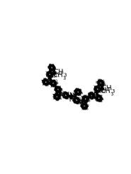 CC1(C)c2ccccc2-c2ccc(-n3c4ccccc4c4cc(-c5ccc6c(c5)c5ccccc5n6-c5ccc(-c6nc(-c7ccccc7)c7cc(-n8c9ccccc9c9cc(-c%10ccc%11c(c%10)c%10ccccc%10n%11-c%10ccc%11c(c%10)C(C)(C)c%10ccccc%10-%11)ccc98)ccc7n6)cc5)ccc43)cc21